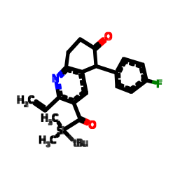 C=Cc1nc2c(cc1C(=O)[Si](C)(C)C(C)(C)C)C(c1ccc(F)cc1)C(=O)CC2